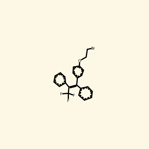 FC(F)(F)C(=C(c1ccccc1)c1ccc(OCCBr)cc1)c1ccccc1